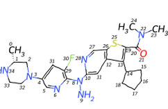 C[C@@H]1CN(c2cnc(N(N)c3cc4c(C5CCCC5)c(C(=O)N(C)C)sc4cn3)c(F)c2)CCN1